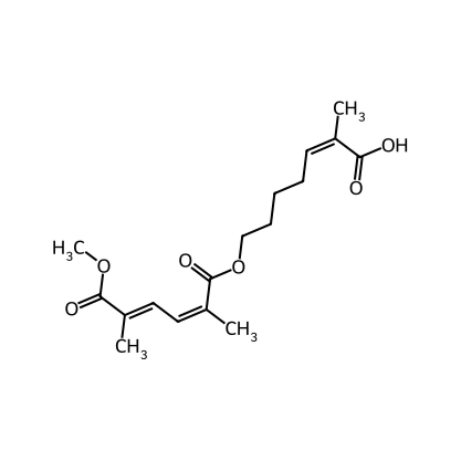 COC(=O)C(C)=CC=C(C)C(=O)OCCCCC=C(C)C(=O)O